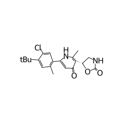 Cc1cc(C(C)(C)C)c(Cl)cc1-c1cc(=O)c([C@@H]2CNC(=O)O2)c(C)[nH]1